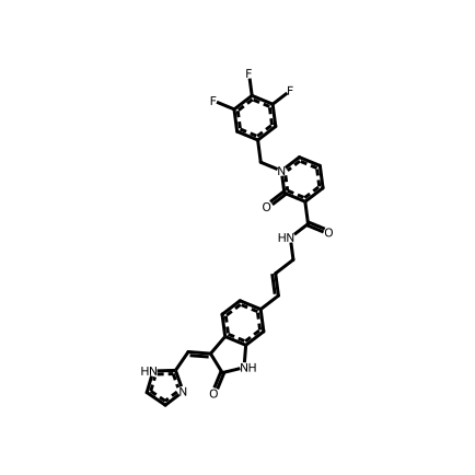 O=C1Nc2cc(/C=C/CNC(=O)c3cccn(Cc4cc(F)c(F)c(F)c4)c3=O)ccc2/C1=C/c1ncc[nH]1